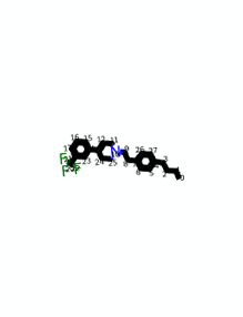 CCCCc1ccc(CCN2CC=C(c3cccc(C(F)(F)F)c3)CC2)cc1